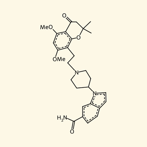 COc1cc(OC)c2c(c1CCN1CCC(n3ccc4ccc(C(N)=O)cc43)CC1)OC(C)(C)CC2=O